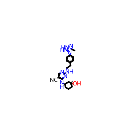 CC1=NNNN1c1ccc(CCNc2ncc(C#N)c(N[C@@H]3CCC[C@@](C)(O)C3)n2)cc1